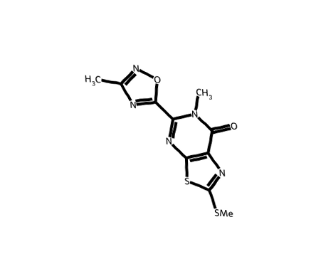 CSc1nc2c(=O)n(C)c(-c3nc(C)no3)nc2s1